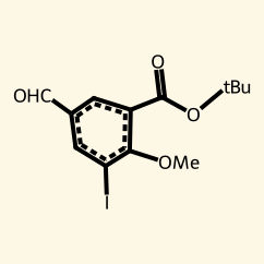 COc1c(I)cc(C=O)cc1C(=O)OC(C)(C)C